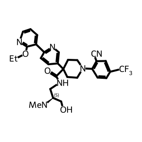 CCOc1ncccc1-c1ccc(C2(C(=O)NC[C@@H](CO)NC)CCN(c3ccc(C(F)(F)F)cc3C#N)CC2)cn1